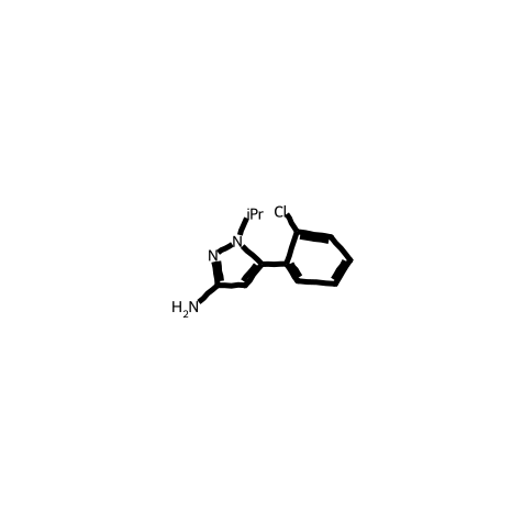 CC(C)n1nc(N)cc1-c1ccccc1Cl